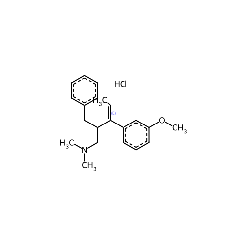 C/C=C(/c1cccc(OC)c1)C(Cc1ccccc1)CN(C)C.Cl